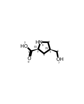 O=C(O)[C@@H]1C[C@H](CO)CN1